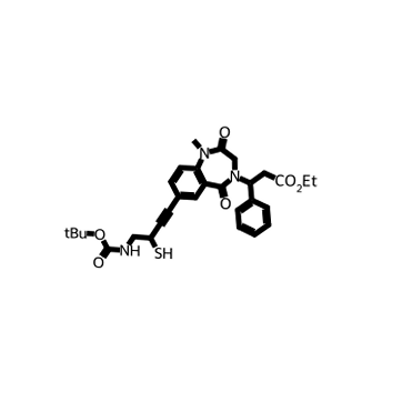 CCOC(=O)CC(c1ccccc1)N1CC(=O)N(C)c2ccc(C#CC(S)CNC(=O)OC(C)(C)C)cc2C1=O